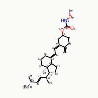 C=C1CC[C@H](OC(=O)NOI)C/C1=C/C=C1\CCC[C@@]2(C)C1CC[C@@H]2[C@@H](C)/C=C/[C@@H](C)C(C)(C)C